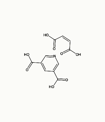 O=C(O)/C=C\C(=O)O.O=C(O)c1cncc(C(=O)O)c1